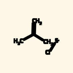 C=C(C)C.[S]Cl